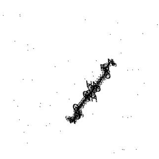 C=CCN(C)C/C=C/COc1ccc(C(=O)CCCCCCCCCCNC(=O)COC(=O)/C=C/C(=O)OCC(=O)NCCCCCCCCCCC(=O)c2ccc(OC/C=C/CN(C)CC=C)c(F)c2)cc1F